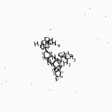 CC(C)N(C)c1nc2cc(C(=O)OC(C)(C)C)ccc2nc1-c1cc2cc(F)ccc2o1